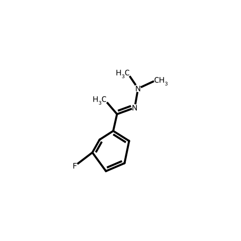 C/C(=N\N(C)C)c1cccc(F)c1